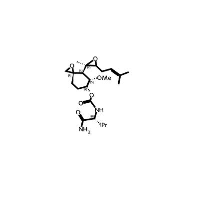 CO[C@@H]1[C@H](OC(=O)N[C@@H](C(N)=O)C(C)C)CC[C@]2(CO2)[C@H]1[C@@]1(C)OC1CC=C(C)C